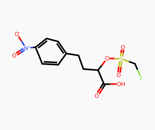 O=C(O)C(CCc1ccc([N+](=O)[O-])cc1)OS(=O)(=O)CF